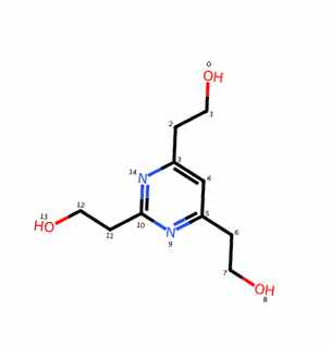 OCCc1cc(CCO)nc(CCO)n1